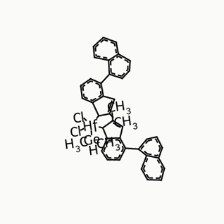 CC1=Cc2c(-c3cccc4ccccc34)cccc2[CH]1[Hf]([Cl])([Cl])([CH]1C(C)=Cc2c(-c3cccc4ccccc34)cccc21)[GeH]([CH3])[CH3]